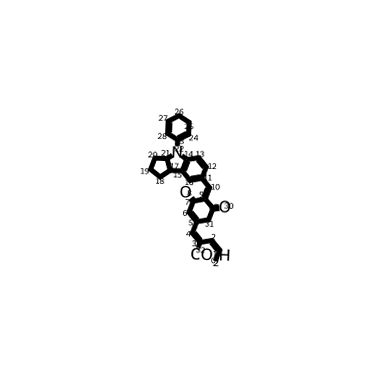 C/C=C\C(=C/C1=CC(=O)C(=Cc2ccc3c(c2)C2CCCC2N3C2=CCCC=C2)C(=O)C1)C(=O)O